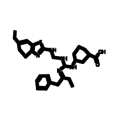 CCC1=Cc2sc(NCNC(/N=C(\CC)Cc3ccccc3)NC3CCCC(C(=O)O)C3)nc2CC1